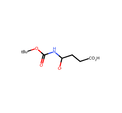 CC(C)(C)OC(=O)NC([O])CCC(=O)O